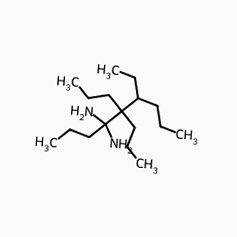 CCCC(CC)C(CCC)(CCC)C(N)(N)CCC